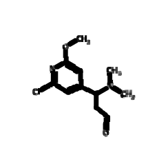 COc1cc(C(CC=O)N(C)C)cc(Cl)n1